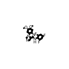 COc1cc2nc(Nc3c(F)cc(F)cc3F)c3cncn3c2cc1OC